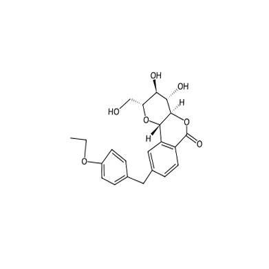 CCOc1ccc(Cc2ccc3c(c2)[C@@H]2O[C@H](CO)[C@@H](O)[C@H](O)[C@H]2OC3=O)cc1